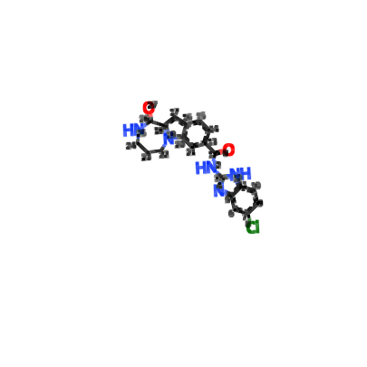 O=C(Nc1nc2cc(Cl)ccc2[nH]1)c1ccc2cc3n(c2c1)CCCNC3=O